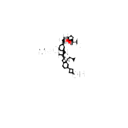 COc1cc(C(=O)N2C[C@H]3CC[C@@H]2[C@@H]3N)cc2nc(-c3cc4ccc(C5CC(O)C5)cc4n3CC3CC3)n(C)c12